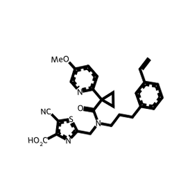 C=Cc1cccc(CCCN(Cc2nc(C(=O)O)c(C#N)s2)C(=O)C2(c3ccc(OC)cn3)CC2)c1